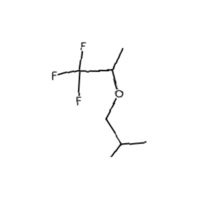 CC(C)COC(C)C(F)(F)F